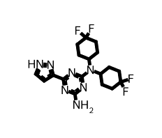 Nc1nc(-c2cc[nH]n2)nc(N(C2CCC(F)(F)CC2)C2CCC(F)(F)CC2)n1